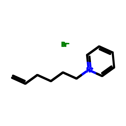 C=CCCCC[n+]1ccccc1.[Br-]